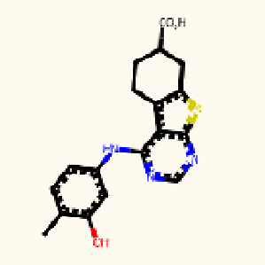 Cc1ccc(Nc2ncnc3sc4c(c23)CCC(C(=O)O)C4)cc1O